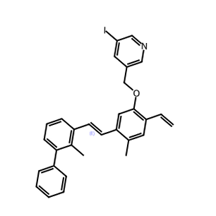 C=Cc1cc(C)c(/C=C/c2cccc(-c3ccccc3)c2C)cc1OCc1cncc(I)c1